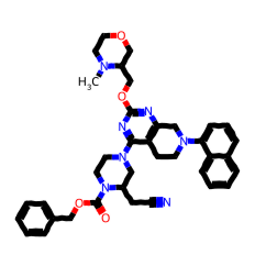 CN1CCOCC1COc1nc2c(c(N3CCN(C(=O)OCc4ccccc4)C(CC#N)C3)n1)CCN(c1cccc3ccccc13)C2